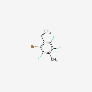 C=Cc1c(F)c(F)c(C)c(F)c1Br